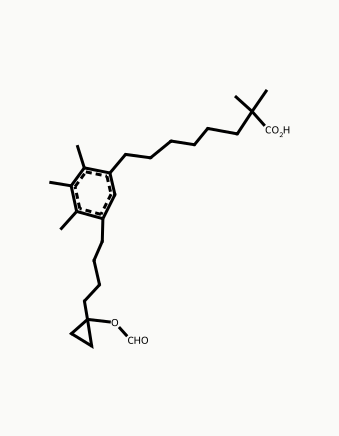 Cc1c(CCCCCCC(C)(C)C(=O)O)cc(CCCCC2(OC=O)CC2)c(C)c1C